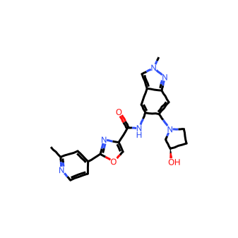 Cc1cc(-c2nc(C(=O)Nc3cc4cn(C)nc4cc3N3CC[C@@H](O)C3)co2)ccn1